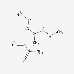 C=CC(N)=O.CCOC(C)OCC